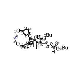 CC(C)[C@H]1COC/C=C/COc2ccc(cc2)C[C@@H](NC(=O)N[C@@H](CCCCNC(=O)OC(C)(C)C)C(=O)OC(C)(C)C)C(=O)N1